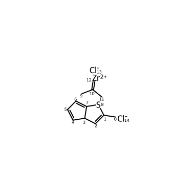 CC1=CC2C=CC=C2S1.C[C](C)=[Zr+2].[Cl-].[Cl-]